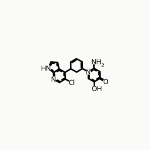 Nc1cc(=O)c(O)cn1C1=CC=CC(c2c(Cl)cnc3[nH]ccc23)C1